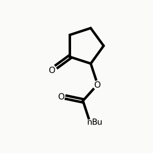 CCCCC(=O)OC1CCCC1=O